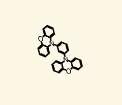 c1cc(N2c3ccccc3Oc3ccccc32)cc(N2c3ccccc3Oc3ccccc32)c1